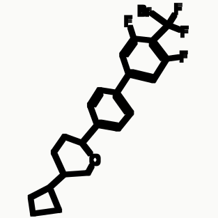 Fc1cc(-c2ccc(C3CCC(C4CCC4)CO3)cc2)cc(F)c1C(F)(F)Br